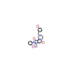 COc1cccc(CN2CCCn3c(c4c(=O)n(-c5ccccc5OC)[nH]c4cc3=O)C2)c1